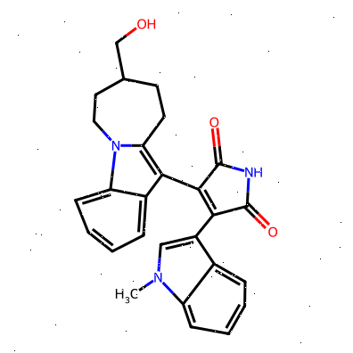 Cn1cc(C2=C(c3c4n(c5ccccc35)CCC(CO)CC4)C(=O)NC2=O)c2ccccc21